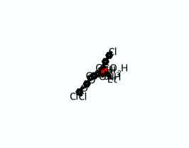 CCNc1nc(C)c(S(=O)(=O)N2Cc3cc4c(cc3CC2C(=O)NC(Cc2ccc(-c3ccc(Cl)cc3)cc2)C(=O)O)OCC(c2ccc(OCc3ccc(Cl)c(Cl)c3)cc2)O4)s1